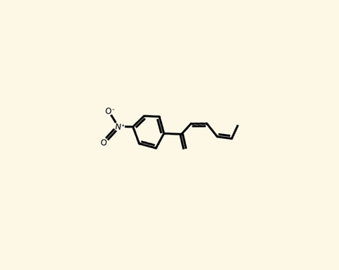 C=C(/C=C\C=C/C)c1ccc([N+](=O)[O-])cc1